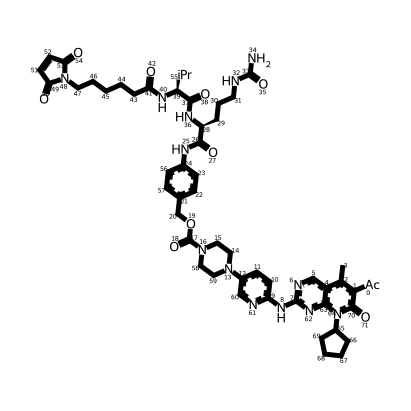 CC(=O)c1c(C)c2cnc(Nc3ccc(N4CCN(C(=O)OCc5ccc(NC(=O)[C@H](CCCNC(N)=O)NC(=O)[C@@H](NC(=O)CCCCCN6C(=O)C=CC6=O)C(C)C)cc5)CC4)cn3)nc2n(C2CCCC2)c1=O